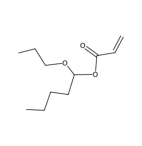 C=CC(=O)OC(CCCC)OCCC